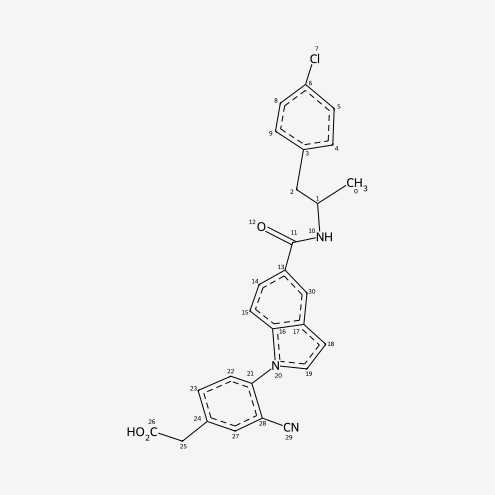 CC(Cc1ccc(Cl)cc1)NC(=O)c1ccc2c(ccn2-c2ccc(CC(=O)O)cc2C#N)c1